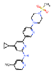 CS(=O)(=O)N1CCN(c2ccc(-c3cc(C4CC4)cc(Nc4cc(C#N)ccn4)n3)cn2)CC1